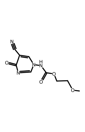 COCCOC(=O)Nn1cnc(=O)c(C#N)c1